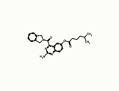 CC(C)CCCC(=O)Oc1ccc2nc(N)nc(C(=O)N3Cc4ccccc4C3)c2c1